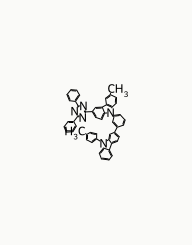 Cc1ccc(-n2c3ccccc3c3ccc(-c4cccc(-n5c6ccc(C)cc6c6cc(-c7nc(-c8ccccc8)nc(-c8ccccc8)n7)ccc65)c4)cc32)cc1